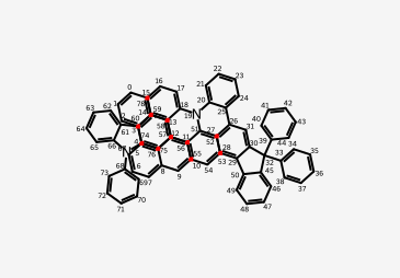 c1ccc(-c2cccc3cccc(-c4ccccc4N(c4ccccc4-c4ccc5c(c4)C(c4ccccc4)(c4ccccc4)c4ccccc4-5)c4ccccc4-c4ccc5c6ccccc6n(-c6ccccc6)c5c4)c23)cc1